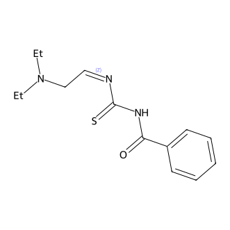 CCN(CC)C/C=N\C(=S)NC(=O)c1ccccc1